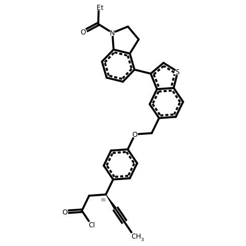 CC#C[C@@H](CC(=O)Cl)c1ccc(OCc2ccc3scc(-c4cccc5c4CCN5C(=O)CC)c3c2)cc1